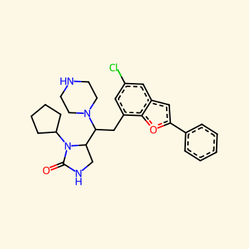 O=C1NCC(C(Cc2cc(Cl)cc3cc(-c4ccccc4)oc23)N2CCNCC2)N1C1CCCC1